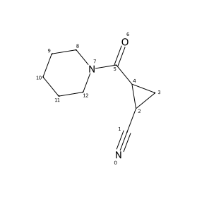 N#CC1CC1C(=O)N1CCCCC1